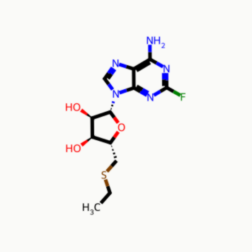 CCSC[C@H]1O[C@@H](n2cnc3c(N)nc(F)nc32)[C@H](O)[C@@H]1O